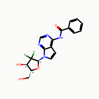 O=C(Nc1ncnc2c1ccn2[C@H]1O[C@H](CO)[C@@H](O)C1(F)F)c1ccccc1